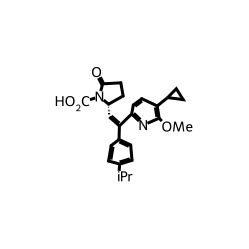 COc1nc(/C(=C\[C@H]2CCC(=O)N2C(=O)O)c2ccc(C(C)C)cc2)ccc1C1CC1